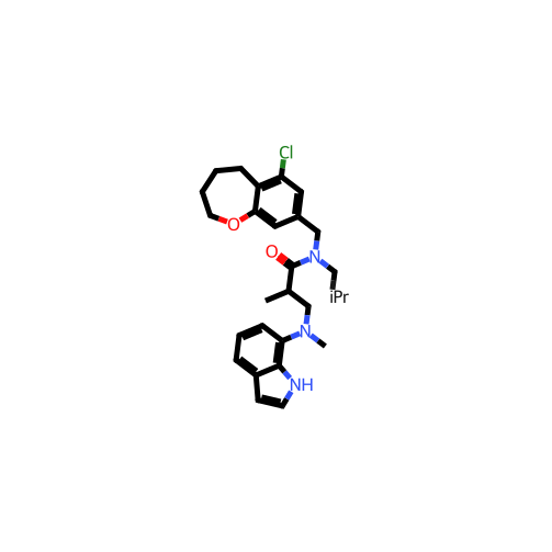 CC(C)CN(Cc1cc(Cl)c2c(c1)OCCCC2)C(=O)C(C)CN(C)c1cccc2cc[nH]c12